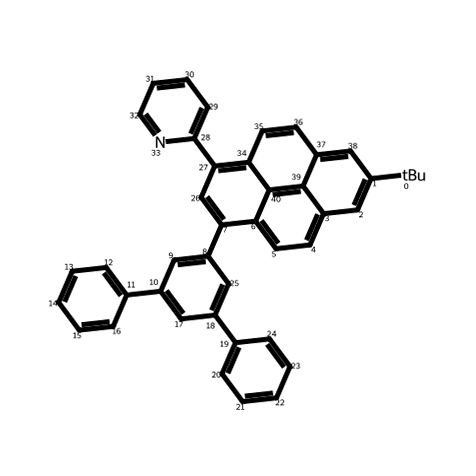 CC(C)(C)c1cc2ccc3c(-c4cc(-c5ccccc5)cc(-c5ccccc5)c4)cc(-c4ccccn4)c4ccc(c1)c2c34